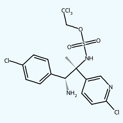 C[C@](NS(=O)(=O)OCC(Cl)(Cl)Cl)(c1ccc(Cl)nc1)[C@H](N)c1ccc(Cl)cc1